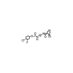 CCn1cncc1C(=O)NC12CC(NC(=O)COc3ccc(Cl)c(F)c3)(C1)C2